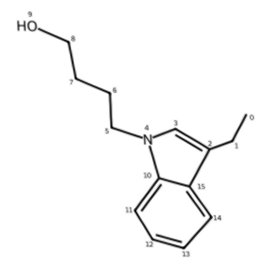 CCc1cn(CCCCO)c2ccccc12